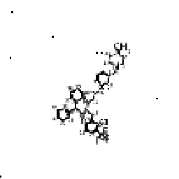 CN1CCN(Cc2cccc(OCCCN(Cc3cccc(C(F)(F)F)c3Cl)CC(c3ccccc3)c3ccccc3)c2)CC1